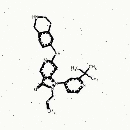 C=CCn1c(=O)c2cnc(Nc3ccc4c(c3)CCNC4)cc2n1-c1ccnc(C(C)(C)C)c1